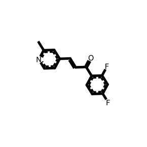 Cc1cc(/C=C/C(=O)c2ccc(F)cc2F)ccn1